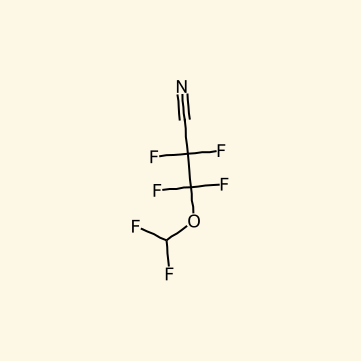 N#CC(F)(F)C(F)(F)OC(F)F